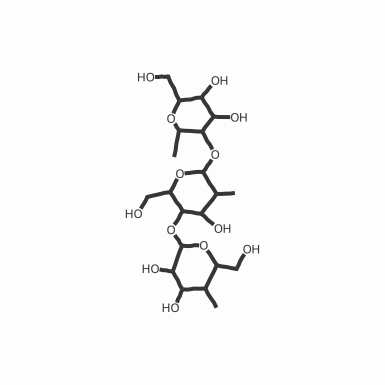 CC1OC(CO)C(O)C(O)C1OC1OC(CO)C(OC2OC(CO)C(C)C(O)C2O)C(O)C1C